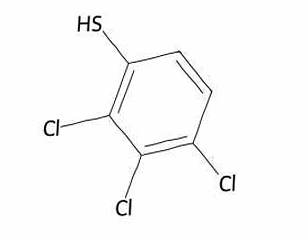 Sc1ccc(Cl)c(Cl)c1Cl